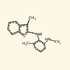 CNc1cccc(C)c1Nc1sc2ccccc2c1C